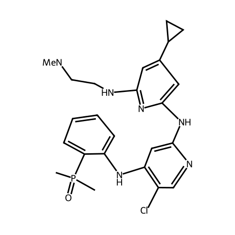 CNCCNc1cc(C2CC2)cc(Nc2cc(Nc3ccccc3P(C)(C)=O)c(Cl)cn2)n1